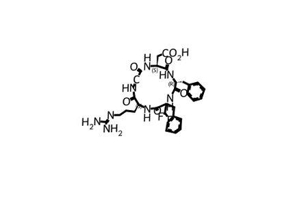 NC(N)=NCCC[C@@H]1NC(=O)C(Cc2ccccc2)(C(F)F)NC(=O)[C@@H](Cc2ccccc2)NC(=O)[C@H](CC(=O)O)NC(=O)CNC1=O